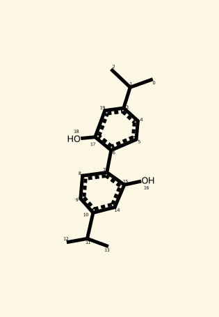 CC(C)c1ccc(-c2ccc(C(C)C)cc2O)c(O)c1